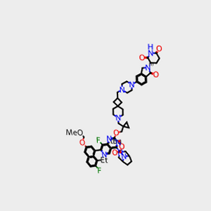 CCc1c(F)ccc2cc(OCOC)cc(-c3ncc4c(N5CC6CCC(C5)N6C(=O)OC(C)(C)C)nc(OCC5(CN6CCC7(CC6)CC(CN6CCN(c8ccc9c(c8)CN([C@H]8CCC(=O)NC8=O)C9=O)CC6)C7)CC5)nc4c3F)c12